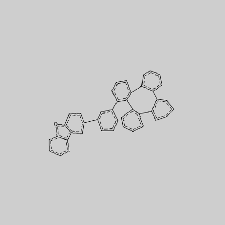 c1cc(-c2ccc3oc4ccccc4c3c2)cc(-c2cccc3c2-c2ccccc2-c2ccccc2-c2ccccc2-3)c1